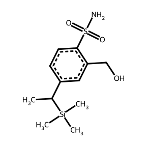 CC(c1ccc(S(N)(=O)=O)c(CO)c1)[Si](C)(C)C